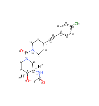 O=C1CO[C@H]2CCN(C(=O)N3CCC(C#Cc4ccc(Cl)cc4)CC3)C[C@H]2N1